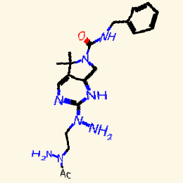 CC(=O)N(N)CCN(N)C1=NC=C2C(CN(C(=O)NCc3ccccc3)C2(C)C)N1